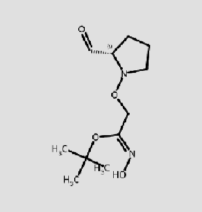 CC(C)(C)OC(CON1CCC[C@H]1C=O)=NO